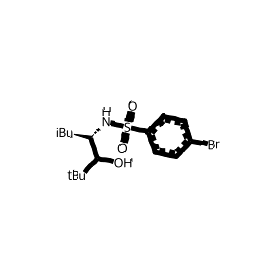 CC[C@H](C)[C@H](NS(=O)(=O)c1ccc(Br)cc1)C(O)C(C)(C)C